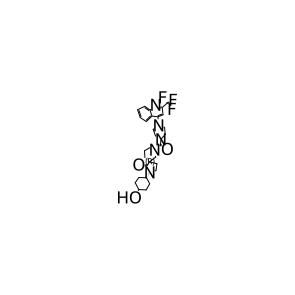 O=C(N1CCN(c2cc(C(F)(F)F)nc3ccccc23)CC1)N1CCC[C@@]2(CCN([C@H]3CC[C@H](O)CC3)C2=O)C1